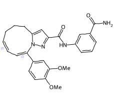 COc1ccc(/C2=C/C=C\CCCc3cc(C(=O)Nc4cccc(C(N)=O)c4)nn32)cc1OC